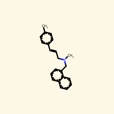 Cc1ccc(C=CCN(C)Cc2cccc3ccccc23)cc1